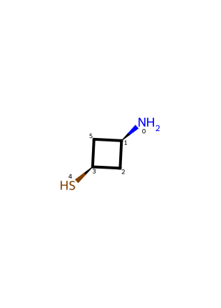 N[C@H]1C[C@@H](S)C1